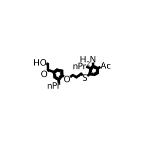 CCCc1cc(C(=O)CO)ccc1OCCCSc1ccc(C(C)=O)c(N)c1CCC